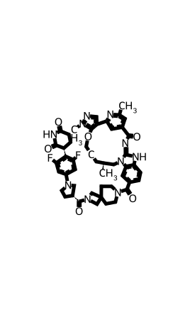 Cc1cc2cc(n1)-c1cnn(C)c1OCCC[C@@H](C)CN1/C(=N/C2=O)Nc2ccc(C(=O)N3CCC4(CC3)CN(C(=O)[C@@H]3CCN(c5cc(F)c([C@H]6CCC(=O)NC6=O)c(F)c5)C3)C4)cc21